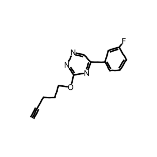 C#CCCCOc1nncc(-c2cccc(F)c2)n1